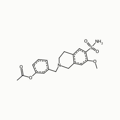 COc1cc2c(cc1S(N)(=O)=O)CCN(Cc1cccc(OC(C)=O)c1)C2